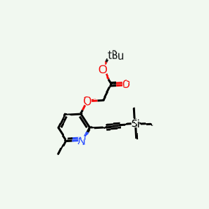 Cc1ccc(OCC(=O)OC(C)(C)C)c(C#C[Si](C)(C)C)n1